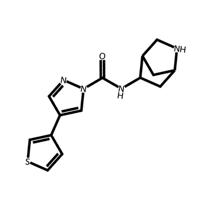 O=C(NC1CC2CC1CN2)n1cc(-c2ccsc2)cn1